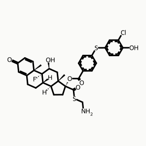 C[C@]12C=CC(=O)C=C1CC[C@H]1[C@@H]3CC[C@](OC(=O)c4ccc(Sc5ccc(O)c(Cl)c5)cc4)(C(=O)SCN)[C@@]3(C)C[C@H](O)[C@@]12F